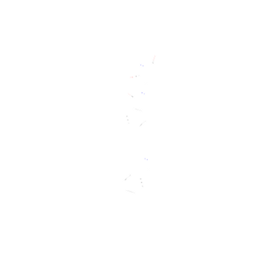 Cc1ccc(CN2CCC(c3cc4c(cc3F)C(=O)N(C3CCC(=O)NC3=O)C4)CC2)cc1